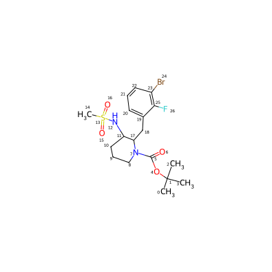 CC(C)(C)OC(=O)N1CCCC(NS(C)(=O)=O)C1Cc1cccc(Br)c1F